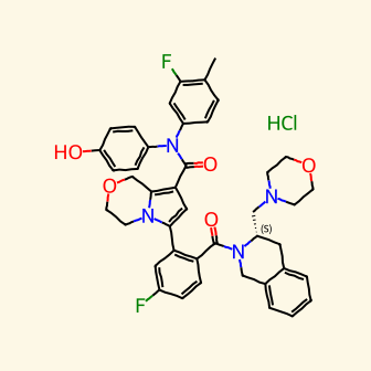 Cc1ccc(N(C(=O)c2cc(-c3cc(F)ccc3C(=O)N3Cc4ccccc4C[C@H]3CN3CCOCC3)n3c2COCC3)c2ccc(O)cc2)cc1F.Cl